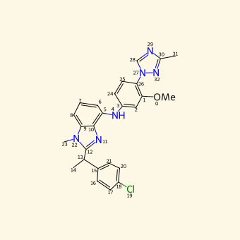 COc1cc(Nc2cccc3c2nc(C(C)c2ccc(Cl)cc2)n3C)ccc1-n1cnc(C)n1